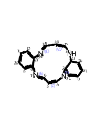 C1=C\C2=N/C=C\C=N\c3ccccc3/N=C/C=C\NC2C=C1